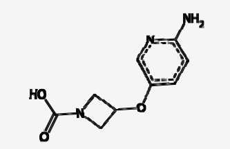 Nc1ccc(OC2CN(C(=O)O)C2)cn1